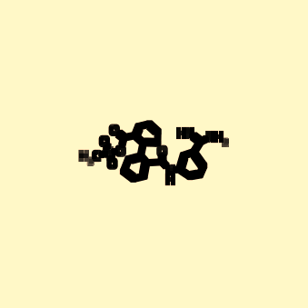 CS(=O)(=O)OC(=O)c1ccccc1-c1ccccc1C(=O)Nc1cccc(C(=N)N)c1